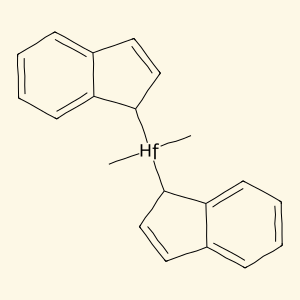 [CH3][Hf]([CH3])([CH]1C=Cc2ccccc21)[CH]1C=Cc2ccccc21